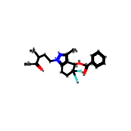 COC(=O)C(C)CCn1nc(C)c2c1CCC(F)(F)[C@H]2OC(=O)c1ccccc1